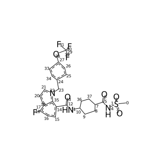 CS(=O)(=O)NC(=O)C1CCC(NC(=O)c2ccc(F)c3ccn(Cc4ccc(OC(F)(F)F)cc4)c23)CC1